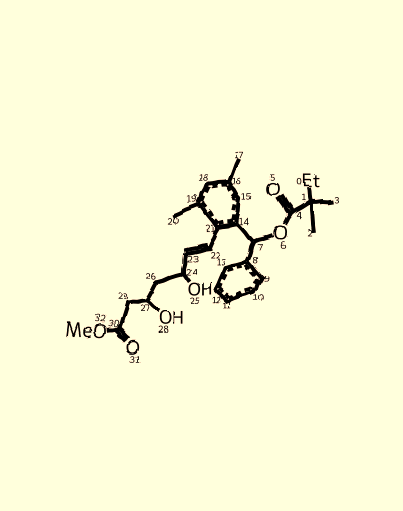 CCC(C)(C)C(=O)OC(c1ccccc1)c1cc(C)cc(C)c1/C=C/C(O)CC(O)CC(=O)OC